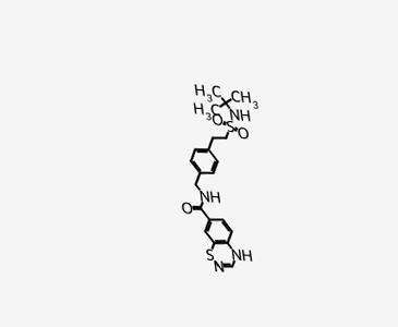 CC(C)(C)NS(=O)(=O)CCc1ccc(CNC(=O)c2ccc3c(c2)SN=CN3)cc1